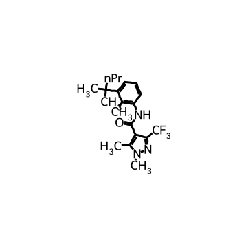 CCCC(C)(C)c1cccc(NC(=O)c2c(C(F)(F)F)nn(C)c2C)c1C